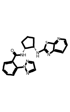 O=C(N[C@@H]1CCC[C@@H]1Nc1nc2cccnc2s1)c1ccccc1-n1nccn1